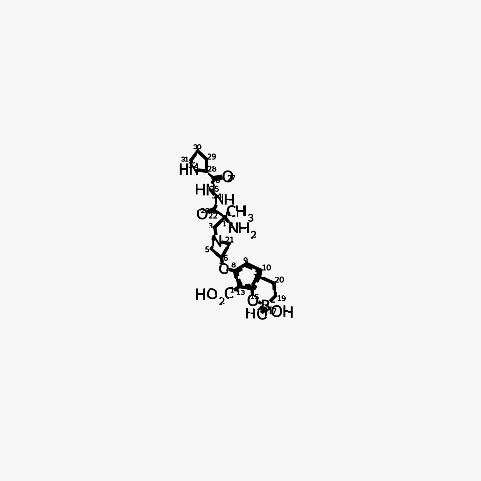 CC(N)(CN1CC(Oc2ccc3c(c2C(=O)O)O[B-](O)(O)CC3)C1)C(=O)NNC(=O)[C@@H]1CCCN1